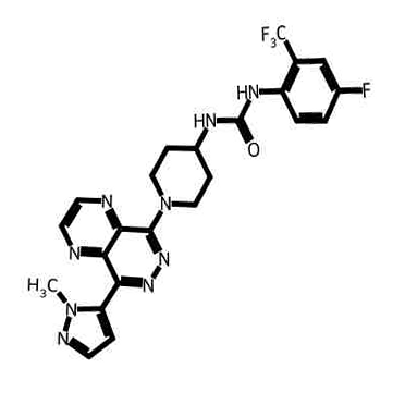 Cn1nccc1-c1nnc(N2CCC(NC(=O)Nc3ccc(F)cc3C(F)(F)F)CC2)c2nccnc12